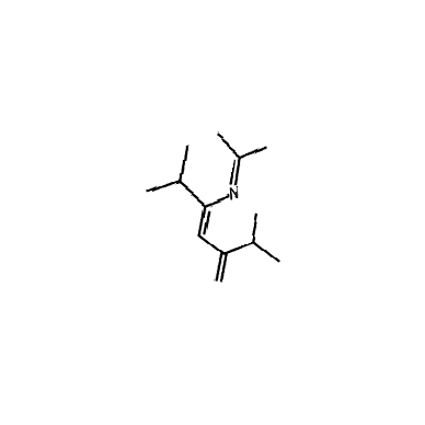 C=C(/C=C(\N=C(C)C)C(C)C)C(C)C